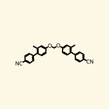 Cc1cc(OCOc2ccc(-c3ccc(C#N)cc3)c(C)c2)ccc1-c1ccc(C#N)cc1